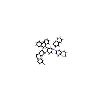 Cc1ccc2ccc3ccc(-c4ccc(N(c5ccc6c(c5)CCCC6)c5ccc6c(c5)CCCC6)cc4-c4cc5ccccc5c5ccccc45)cc3c2c1